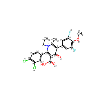 CCn1c(C)c(-c2cc(F)c(OC)c(F)c2)c(=O)c(C(=O)O)c1-c1ccc(Cl)c(Cl)c1